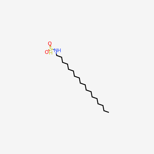 CCCCCCCCCCCCCCCCCCN[SH](=O)=O